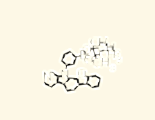 CC1(C)OB(c2cccc(-n3c4cnccc4c4ccc5c6ccccc6oc5c43)c2)OC1(C)C